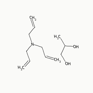 C=CCN(CC=C)CC=C.CC(O)CO